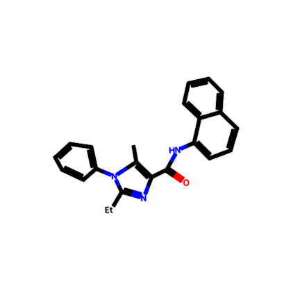 CCc1nc(C(=O)Nc2cccc3ccccc23)c(C)n1-c1ccccc1